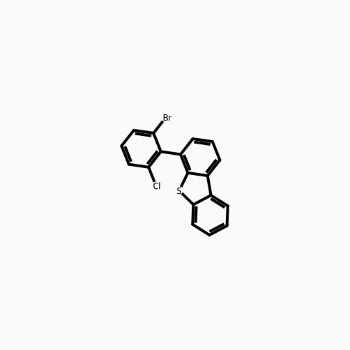 Clc1cccc(Br)c1-c1cccc2c1sc1ccccc12